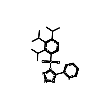 CC(C)c1ccc(S(=O)(=O)n2nnnc2-c2ccccn2)c(C(C)C)c1C(C)C